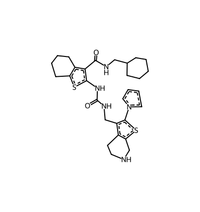 O=C(NCc1c(-n2cccc2)sc2c1CCNC2)Nc1sc2c(c1C(=O)NCC1CCCCC1)CCCC2